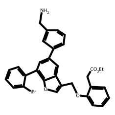 CCOC(=O)Cc1ccccc1OCc1coc2c(-c3ccccc3C(C)C)cc(-c3cccc(CN)c3)cc12